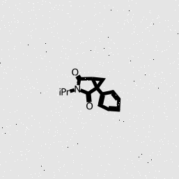 CC(C)N1C(=O)C2CC2(c2ccccc2)C1=O